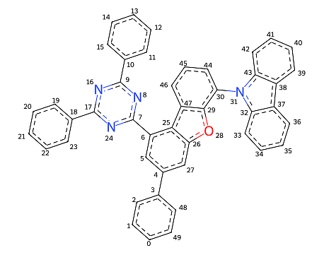 c1ccc(-c2cc(-c3nc(-c4ccccc4)nc(-c4ccccc4)n3)c3c(c2)oc2c(-n4c5ccccc5c5ccccc54)cccc23)cc1